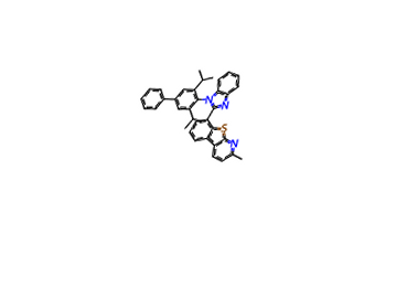 Cc1ccc2c(n1)sc1c(-c3nc4ccccc4n3-c3c(C(C)C)cc(-c4ccccc4)cc3C(C)C)cccc12